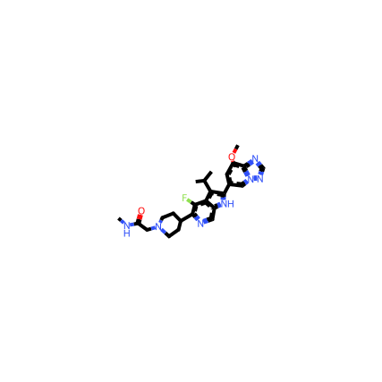 CNC(=O)CN1CCC(c2ncc3[nH]c(-c4cc(OC)c5ncnn5c4)c(C(C)C)c3c2F)CC1